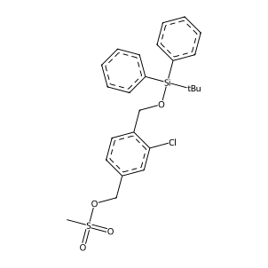 CC(C)(C)[Si](OCc1ccc(COS(C)(=O)=O)cc1Cl)(c1ccccc1)c1ccccc1